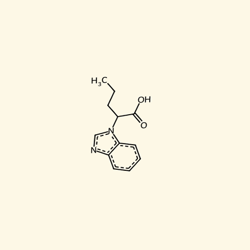 CCCC(C(=O)O)n1cnc2ccccc21